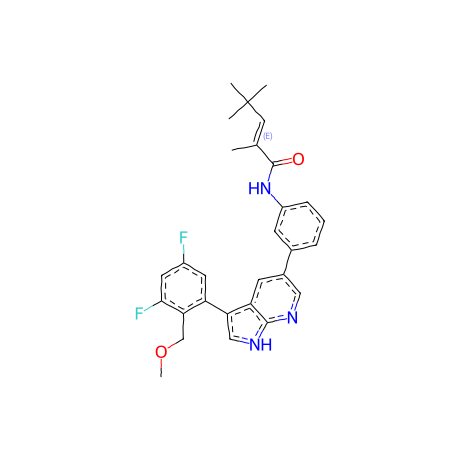 COCc1c(F)cc(F)cc1-c1c[nH]c2ncc(-c3cccc(NC(=O)/C(C)=C/C(C)(C)C)c3)cc12